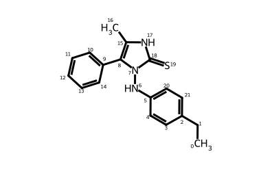 CCc1ccc(Nn2c(-c3ccccc3)c(C)[nH]c2=S)cc1